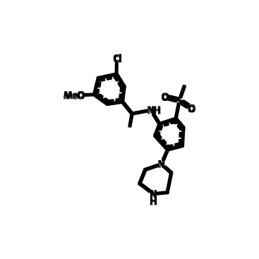 COc1cc(Cl)cc(C(C)Nc2cc(N3CCNCC3)ccc2S(C)(=O)=O)c1